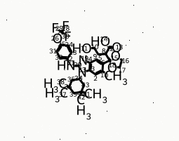 Cc1cc2c(cc1C1(C(CCO)C(=O)O)OCCO1)nc(Nc1ccc(OC(F)(F)F)cc1)n2C1CC(C)(C)CC(C)(C)C1